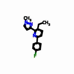 CCc1ccc(-c2ccc(F)cc2)nc1-c1ccn(C)n1